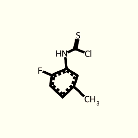 Cc1ccc(F)c(NC(=S)Cl)c1